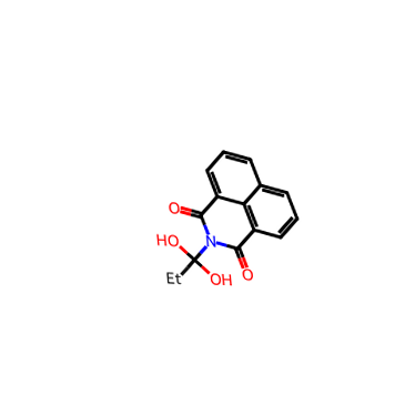 CCC(O)(O)N1C(=O)c2cccc3cccc(c23)C1=O